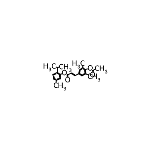 CC(=O)Oc1c(C)cc(/C=C/C(=O)Oc2cc(C)ccc2C(C)C)cc1C